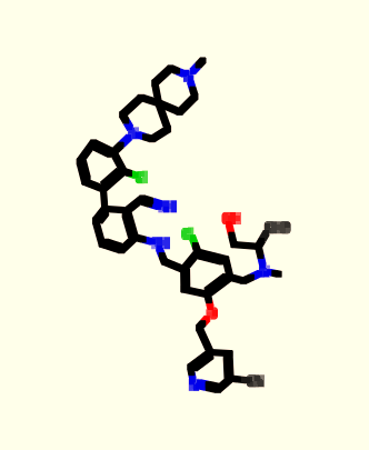 CN1CCC2(CC1)CCN(c1cccc(-c3cccc(NCc4cc(OCc5cncc(C#N)c5)c(CN(C)C(C=O)CO)cc4Cl)c3C=N)c1Cl)CC2